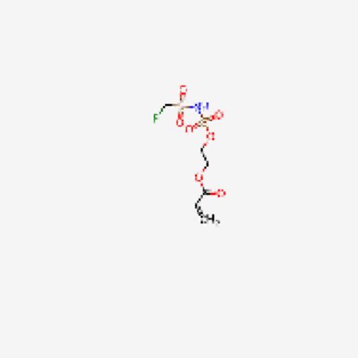 C=CC(=O)OCCOS(=O)(=O)NS(=O)(=O)CF